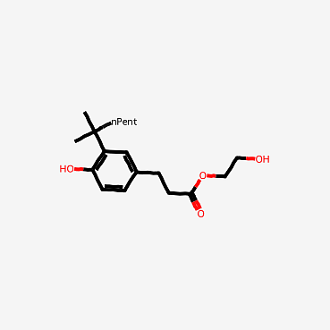 CCCCCC(C)(C)c1cc(CCC(=O)OCCO)ccc1O